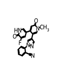 Cn1cc(-c2cnn(-c3ccccc3C#N)c2)c(-c2c[nH]c(=O)c(F)c2)cc1=O